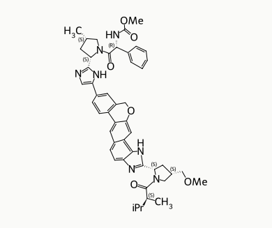 COC[C@H]1C[C@@H](c2nc3ccc4cc5c(cc4c3[nH]2)OCc2cc(-c3cnc([C@@H]4C[C@H](C)CN4C(=O)[C@H](NC(=O)OC)c4ccccc4)[nH]3)ccc2-5)N(C(=O)[C@@H](C)C(C)C)C1